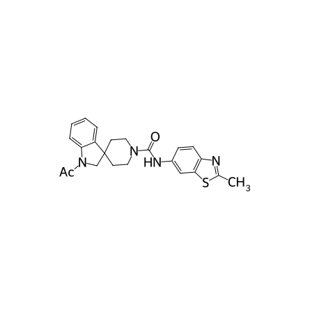 CC(=O)N1CC2(CCN(C(=O)Nc3ccc4nc(C)sc4c3)CC2)c2ccccc21